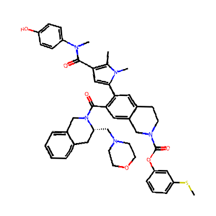 CSc1cccc(OC(=O)N2CCc3cc(-c4cc(C(=O)N(C)c5ccc(O)cc5)c(C)n4C)c(C(=O)N4Cc5ccccc5C[C@H]4CN4CCOCC4)cc3C2)c1